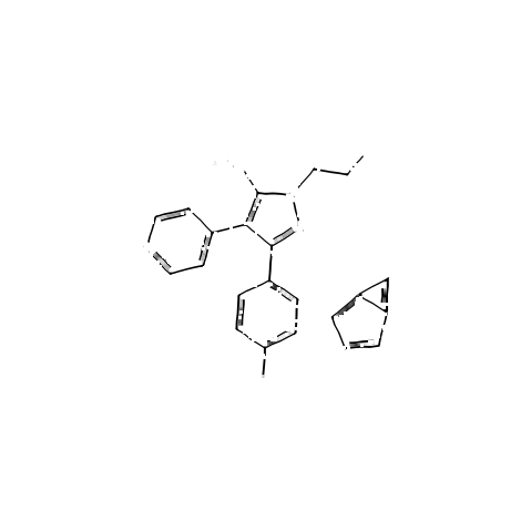 CC(=O)Nc1c(-c2ccncc2)c(-c2ccc(F)cc2)nn1CCO.c1cc2cc-2c1